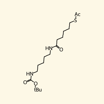 CC(=O)SCCCCCC(=O)NCCCCCNC(=O)OC(C)(C)C